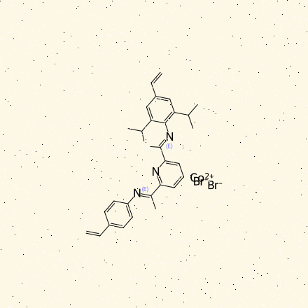 C=Cc1ccc(/N=C(\C)c2cccc(/C(C)=N/c3c(C(C)C)cc(C=C)cc3C(C)C)n2)cc1.[Br-].[Br-].[Co+2]